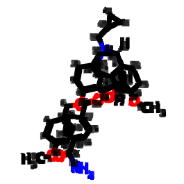 COc1ccc(COc2ccc3c4c2O[C@H]2C5(OC)CCC6(C[C@@H]5COCc5ccc(C(N)=O)cc5)[C@@H](C3)N(CC3CC3)CC[C@]426)cc1